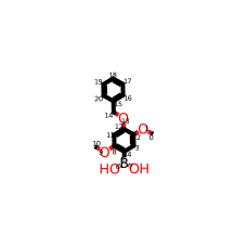 COc1cc(B(O)O)c(OC)cc1OCc1ccccc1